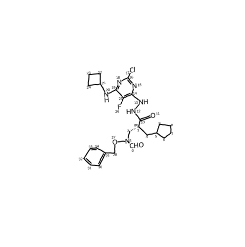 O=CN(C[C@@H](CC1CCCC1)C(=O)NNc1nc(Cl)nc(NC2CCC2)c1F)OCc1ccccc1